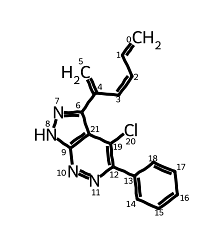 C=C/C=C\C(=C)c1n[nH]c2nnc(-c3ccccc3)c(Cl)c12